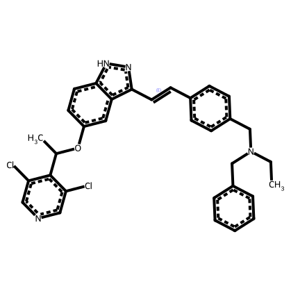 CCN(Cc1ccccc1)Cc1ccc(/C=C/c2n[nH]c3ccc(OC(C)c4c(Cl)cncc4Cl)cc23)cc1